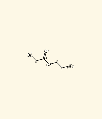 CC(C)CCOC(=O)CBr